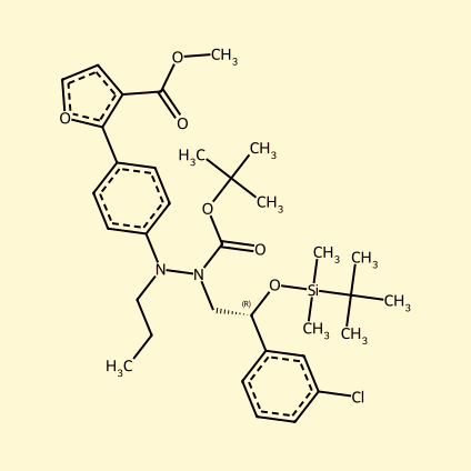 CCCN(c1ccc(-c2occc2C(=O)OC)cc1)N(C[C@H](O[Si](C)(C)C(C)(C)C)c1cccc(Cl)c1)C(=O)OC(C)(C)C